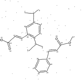 CC(C)c1ccc(C(C)C)c(/C=C/C(=O)O)c1.COC(=O)/C=C/c1ccccc1